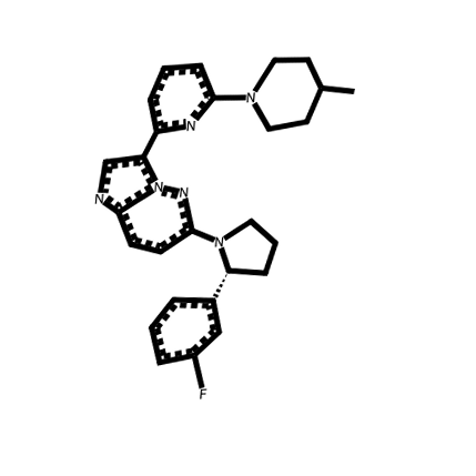 CC1CCN(c2cccc(-c3cnc4ccc(N5CCC[C@@H]5c5cccc(F)c5)nn34)n2)CC1